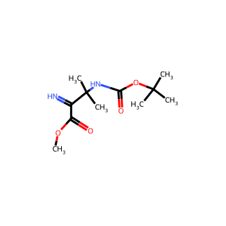 COC(=O)C(=N)C(C)(C)NC(=O)OC(C)(C)C